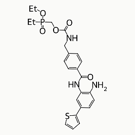 CCOP(=O)(CC)COC(=O)NCc1ccc(C(=O)Nc2cc(-c3cccs3)ccc2N)cc1